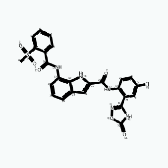 CS(=O)(=O)c1ccccc1C(=O)Nc1cccc2cc(C(=O)Nc3ccc(Cl)cc3-c3noc(=O)[nH]3)[nH]c12